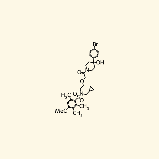 COc1cc(C)c(S(=O)(=O)N(CCOCC(=O)N2CCC(O)(c3ccc(Br)cc3)CC2)CC2CC2)c(C)c1C